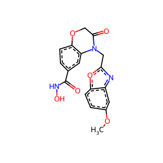 COc1ccc2oc(CN3C(=O)COc4ccc(C(=O)NO)cc43)nc2c1